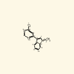 Cn1cc(-c2cc(Cl)ncn2)c2ccccc21